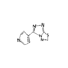 c1cc(-c2nnc3scnn23)ccn1